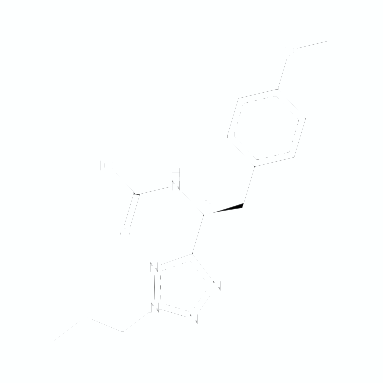 COc1ccc(C[C@H](NC(=O)O)c2nnn(CSC)n2)cc1